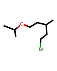 CC(CCBr)CCOC(C)C